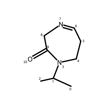 CC(C)N1CCC=NCC1=O